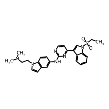 CCS(=O)(=O)n1cc(-c2ccnc(Nc3ccc4c(ccn4CCN(C)C)c3)n2)c2ccccc21